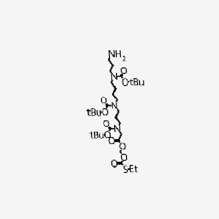 CCSC(=O)OCOC(=O)CN(CCCN(CCCCN(CCCN)C(=O)OC(C)(C)C)C(=O)OC(C)(C)C)C(=O)OC(C)(C)C